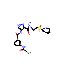 CC(=O)Nc1cccc(C(=O)Nc2c[nH]nc2C(=O)NCCS(=O)(=O)c2ccccn2)c1